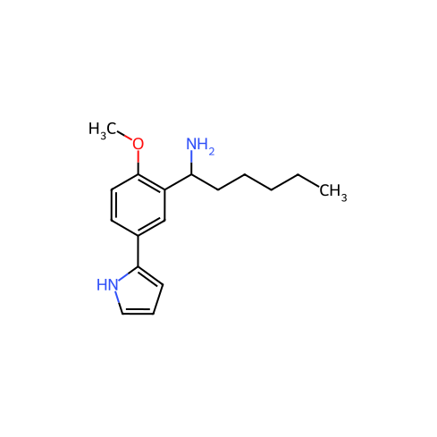 CCCCCC(N)c1cc(-c2ccc[nH]2)ccc1OC